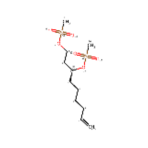 C=CCCCC[C@@H](CCOS(C)(=O)=O)OS(C)(=O)=O